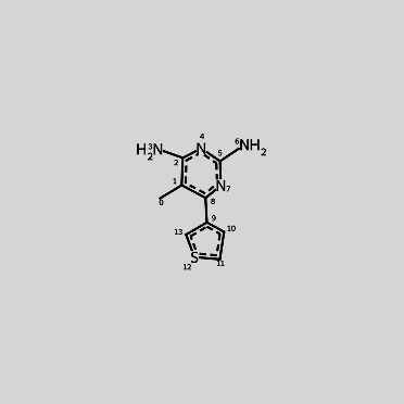 Cc1c(N)nc(N)nc1-c1ccsc1